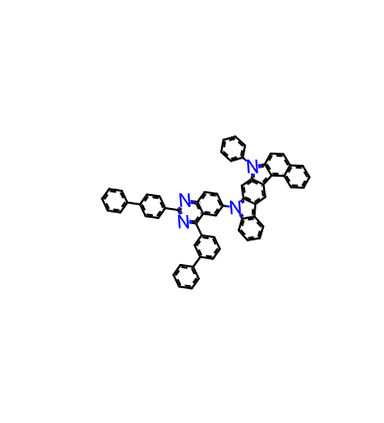 c1ccc(-c2ccc(-c3nc(-c4cccc(-c5ccccc5)c4)c4cc(-n5c6ccccc6c6cc7c8c9ccccc9ccc8n(-c8ccccc8)c7cc65)ccc4n3)cc2)cc1